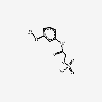 CCOc1cccc(NC(=O)COS(C)(=O)=O)c1